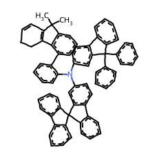 CC1(C)C2=C(CCC=C2)c2c(-c3ccccc3N(c3ccc4c(c3)C(c3ccccc3)(c3ccccc3)c3ccccc3-4)c3ccc4c(c3)C3(c5ccccc5-c5ccccc53)c3ccccc3-4)cccc21